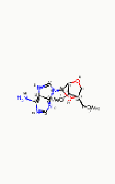 COC[C@]12COC(C1OC)[C@H](n1cnc3c(N)ncnc31)O2